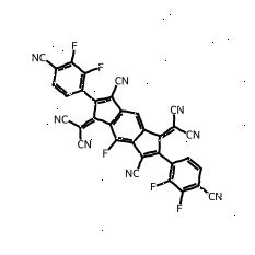 N#CC(C#N)=C1C(c2ccc(C#N)c(F)c2F)=C(C#N)c2c1cc1c(c2F)C(=C(C#N)C#N)C(c2ccc(C#N)c(F)c2F)=C1C#N